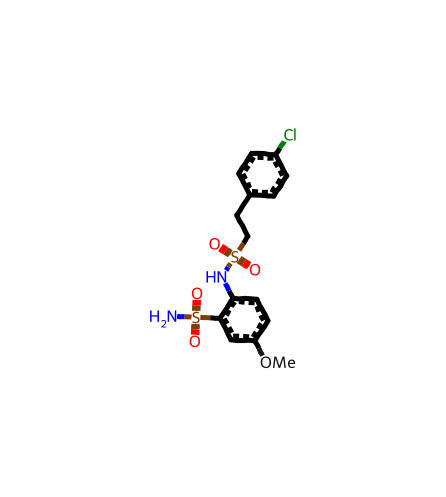 COc1ccc(NS(=O)(=O)CCc2ccc(Cl)cc2)c(S(N)(=O)=O)c1